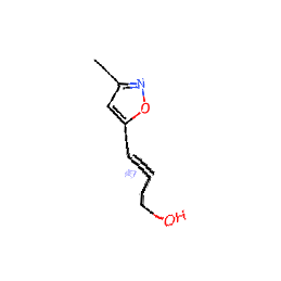 Cc1cc(/C=C/CO)on1